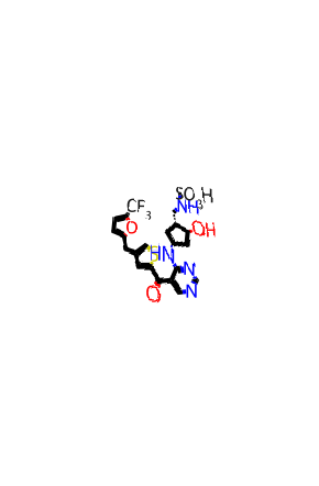 O=C(c1cc(Cc2ccc(C(F)(F)F)o2)cs1)c1cncnc1N[C@@H]1C[C@H](CNS(=O)(=O)O)[C@@H](O)C1